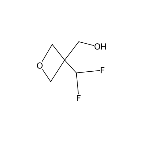 OCC1(C(F)F)COC1